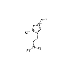 C=C[n+]1ccn(CCN(CC)CC)c1.[Cl-]